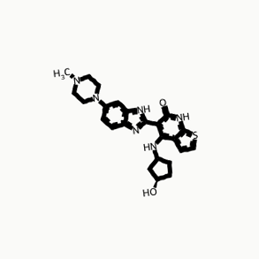 CN1CCN(c2ccc3nc(-c4c(NC5CC[C@@H](O)C5)c5ccsc5[nH]c4=O)[nH]c3c2)CC1